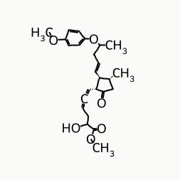 COC(=O)C(O)CC=C=C[C@H]1C(=O)C[C@@H](C)[C@@H]1/C=C/CC(C)Oc1ccc(OC)cc1